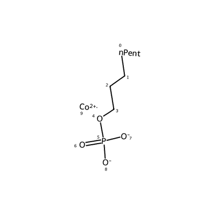 CCCCCCCCOP(=O)([O-])[O-].[Co+2]